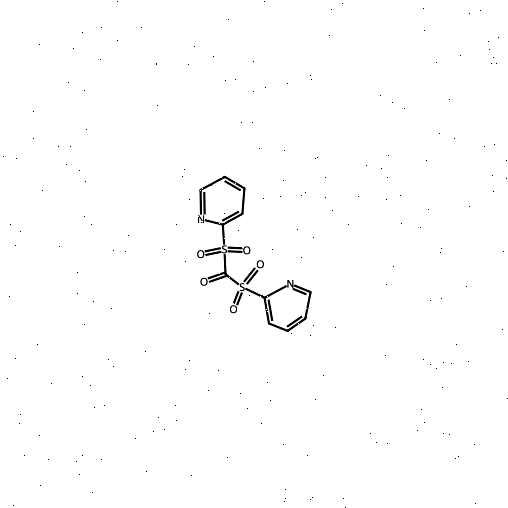 O=C(S(=O)(=O)c1ccccn1)S(=O)(=O)c1ccccn1